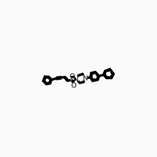 O=S(=O)(C=CC#Cc1ccccc1)N1CCN(c2ccc(-c3ccccc3)cc2)CC1